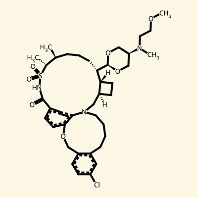 COCCN(C)[C@H]1CO[C@@H]([C@H]2CCC[C@H](C)[C@@H](C)S(=O)(=O)NC(=O)c3ccc4c(c3)N(CCCCc3cc(Cl)ccc3CO4)C[C@@H]3CC[C@H]32)OC1